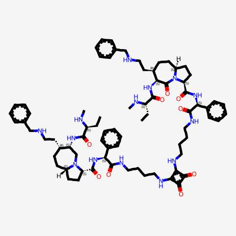 CC[C@H](NC)C(=O)N[C@@H]1C(=O)N2[C@@H](CC[C@@H]1CCNCc1ccccc1)CC[C@H]2C(=O)N[C@H](C(=O)NCCCCNc1c(NCCCCNC(=O)[C@@H](NC(=O)[C@@H]2CC[C@@H]3CC[C@H](CCNCc4ccccc4)[C@H](NC(=O)[C@H](CC)NC)CN32)c2ccccc2)c(=O)c1=O)c1ccccc1